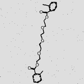 Cc1ccccc1C(=O)OCCOCCOCCOCCOC(=O)c1ccccc1C